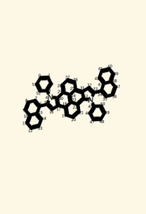 c1ccc(-n2c(-c3cccc4ccccc34)cc3c4cccc5c4c4c(cccc4c32)c2cc(-c3cccc4ccccc34)n(-c3ccccc3)c25)cc1